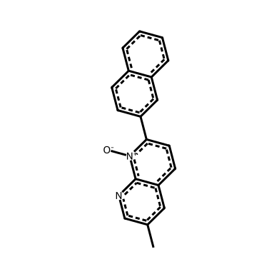 Cc1cnc2c(ccc(-c3ccc4ccccc4c3)[n+]2[O-])c1